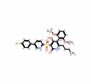 CCCCc1[nH]c(=O)c(S(=O)(=O)c2ccc(-c3ccc(F)cc3)cn2)c(O)c1-c1c(OC)cccc1OC